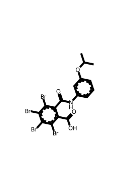 CC(C)Oc1cccc(NC(=O)c2c(Br)c(Br)c(Br)c(Br)c2C(=O)O)c1